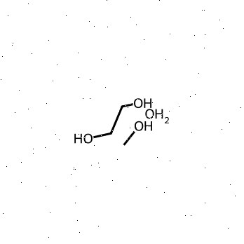 CO.O.OCCO